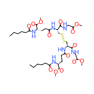 CCCCCC(=O)N[C@@H](CCC(=O)N[C@@H](CSSC[C@H](NC(=O)CC[C@H](NC(=O)CCCCC)C(=O)OC)C(=O)NCC(=O)OC)C(=O)NCC(=O)OC)C(=O)OC